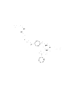 CNC(=O)C(=O)NCC(C)(C)CNC(=O)c1ccc(Nc2nc(NC3(c4ccc(Cl)cc4)CC3)nc(OCC(F)(F)F)n2)cc1